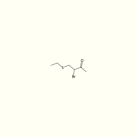 CCSCC(Br)C(C)=O